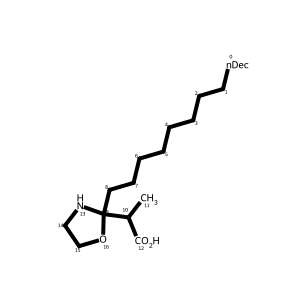 CCCCCCCCCCCCCCCCCCC1(C(C)C(=O)O)NCCO1